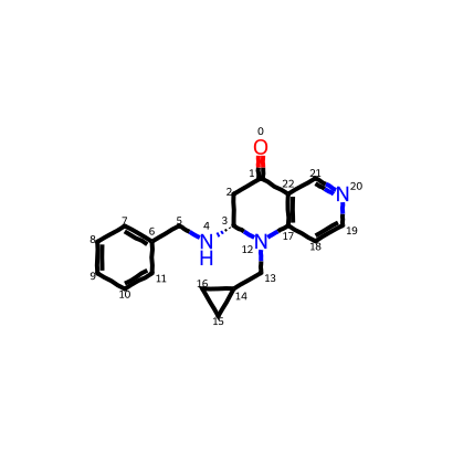 O=C1C[C@@H](NCc2ccccc2)N(CC2CC2)c2ccncc21